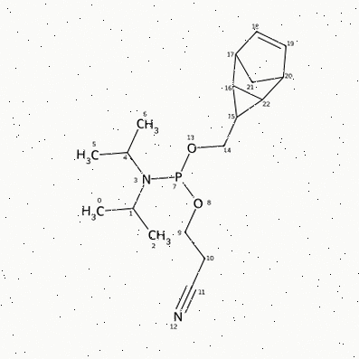 CC(C)N(C(C)C)P(OCCC#N)OCC1C2C3C=CC(C3)C12